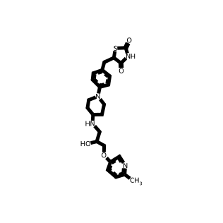 Cc1ccc(OCC(O)CNC2CCN(c3ccc(CC4SC(=O)NC4=O)cc3)CC2)cn1